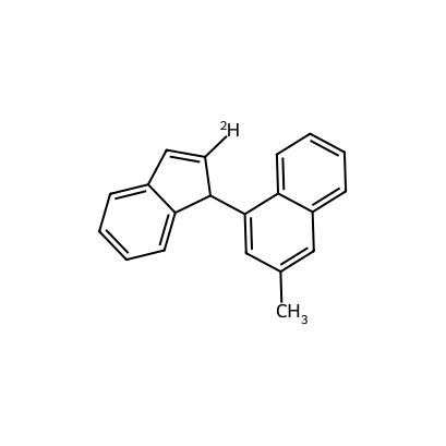 [2H]C1=Cc2ccccc2C1c1cc(C)cc2ccccc12